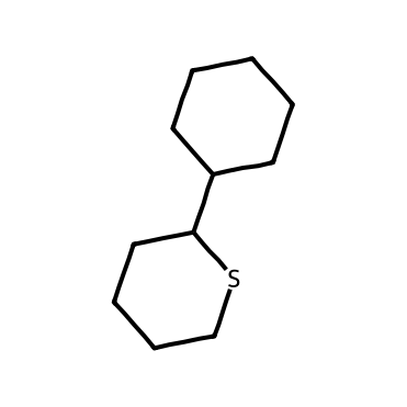 C1CCC(C2CCCCS2)CC1